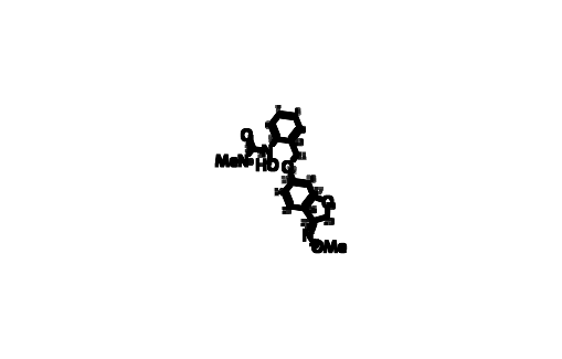 CNC(=O)N(O)c1ccccc1COc1ccc2c(c1)OC/C2=N\OC